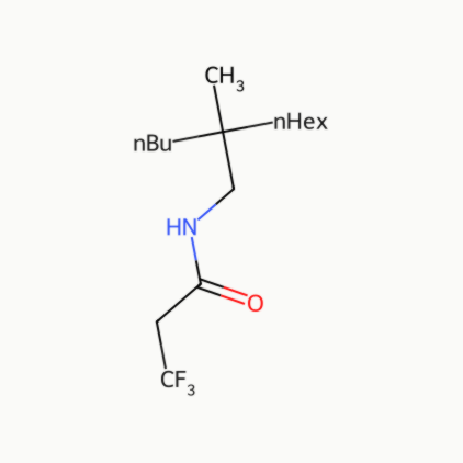 CCCCCCC(C)(CCCC)CNC(=O)CC(F)(F)F